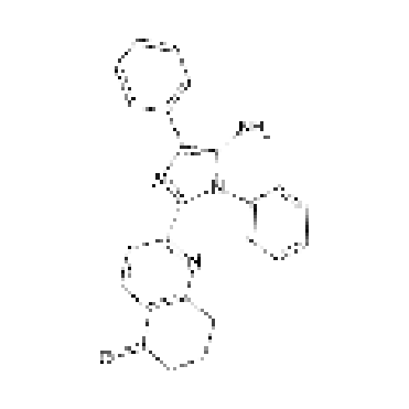 Nc1c(-c2ccccc2)nc(-c2ccc3c(n2)CCCC3=O)n1-c1ccccc1